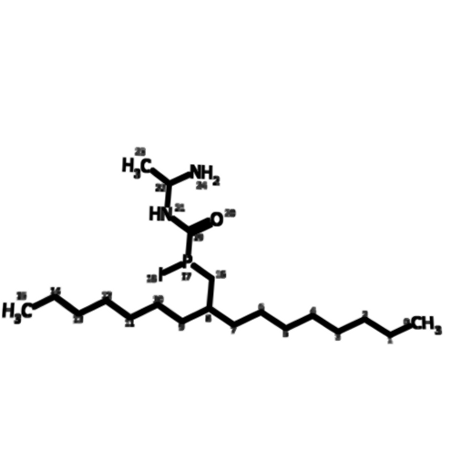 CCCCCCCCC(CCCCCCC)CP(I)C(=O)NC(C)N